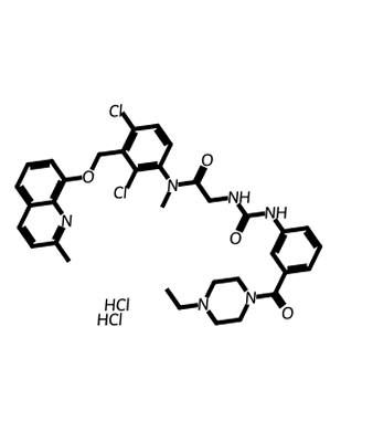 CCN1CCN(C(=O)c2cccc(NC(=O)NCC(=O)N(C)c3ccc(Cl)c(COc4cccc5ccc(C)nc45)c3Cl)c2)CC1.Cl.Cl